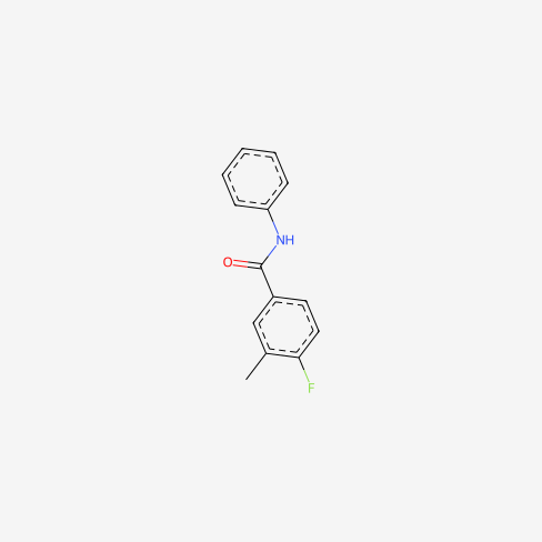 Cc1cc(C(=O)Nc2ccccc2)ccc1F